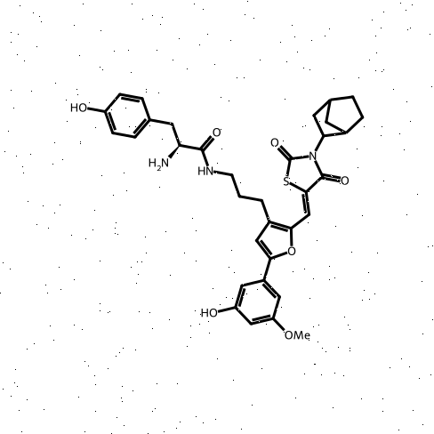 COc1cc(O)cc(-c2cc(CCCNC(=O)[C@@H](N)Cc3ccc(O)cc3)c(/C=C3\SC(=O)N(C4CC5CCC4C5)C3=O)o2)c1